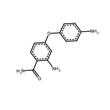 NC(=O)c1ccc(Oc2ccc(N)cc2)cc1N